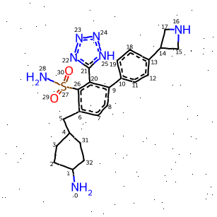 NC1CCC(Cc2ccc(-c3ccc(C4CNC4)cc3)c(-c3nnn[nH]3)c2S(N)(=O)=O)CC1